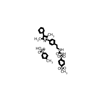 Cc1ccc(S(=O)(=O)O)cc1.Cc1nn(-c2ccc(CCNC(=O)NS(=O)(=O)c3ccc(S(C)(=O)=O)cc3)cc2)c(C)c1-c1ccccc1